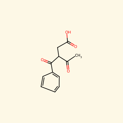 CC(=O)C(CC(=O)O)C(=O)c1ccccc1